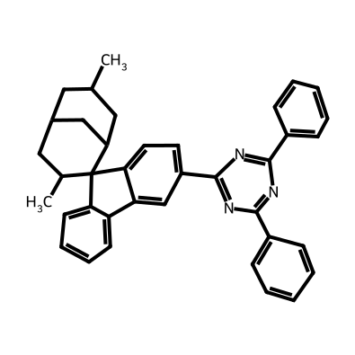 CC1CC2CC(C)C3(c4ccccc4-c4cc(-c5nc(-c6ccccc6)nc(-c6ccccc6)n5)ccc43)C(C1)C2